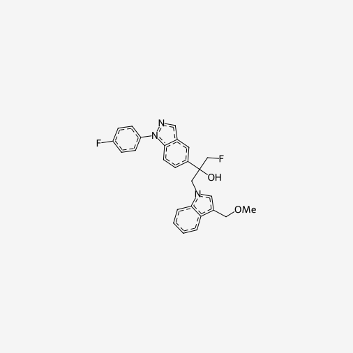 COCc1cn(CC(O)(CF)c2ccc3c(cnn3-c3ccc(F)cc3)c2)c2ccccc12